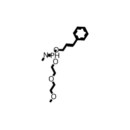 CN=[PH](OC/C=C/c1ccccc1)OCCOCCOC